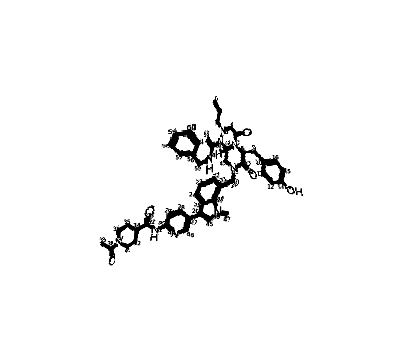 C=CCN1CC(=O)N2[C@@H](Cc3ccc(O)cc3)C(=O)N(Cc3cccc4c(-c5ccc(NC(=O)C6CCN(C(C)=O)CC6)nc5)cn(C)c34)C[C@@H]2N1C(=C)NCc1ccccc1